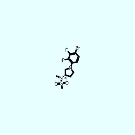 CN([C@H]1CCN(c2ccc(Br)c(F)c2F)C1)S(C)(=O)=O